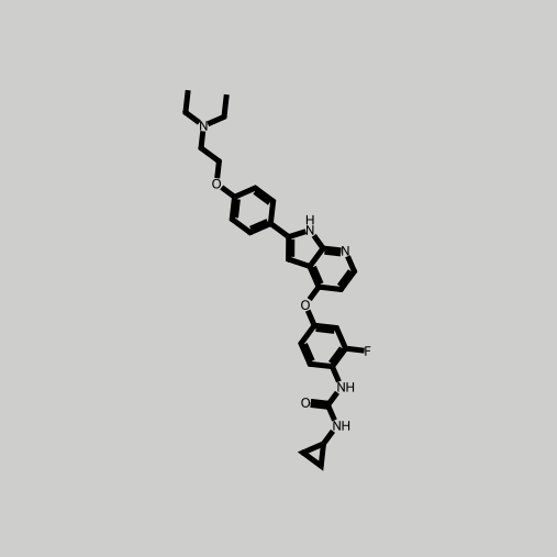 CCN(CC)CCOc1ccc(-c2cc3c(Oc4ccc(NC(=O)NC5CC5)c(F)c4)ccnc3[nH]2)cc1